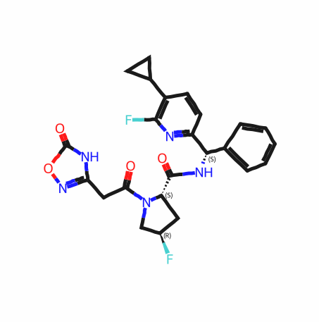 O=C(N[C@@H](c1ccccc1)c1ccc(C2CC2)c(F)n1)[C@@H]1C[C@@H](F)CN1C(=O)Cc1noc(=O)[nH]1